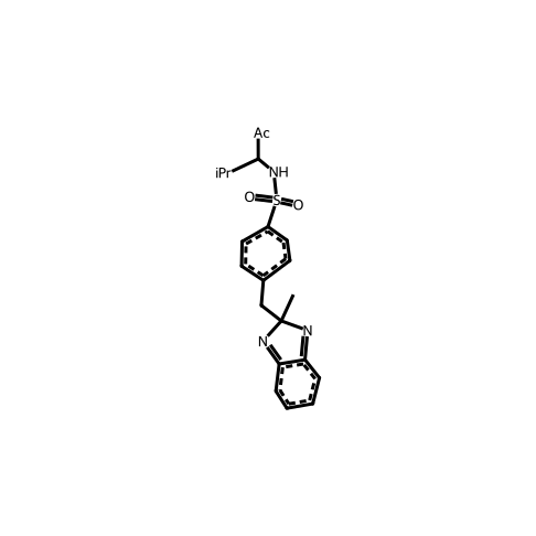 CC(=O)C(NS(=O)(=O)c1ccc(CC2(C)N=c3ccccc3=N2)cc1)C(C)C